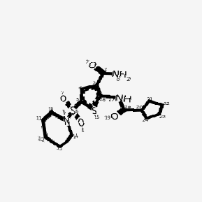 NC(=O)c1cc(S(=O)(=O)N2CCCCC2)sc1NC(=O)C1CCCC1